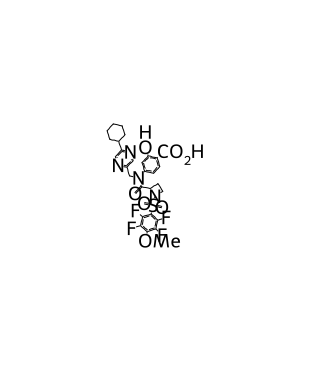 COc1c(F)c(F)c(S(=O)(=O)N2CCC2C(=O)N(Cc2cnc(C3CCCCC3)cn2)c2ccc(C(=O)O)c(O)c2)c(F)c1F